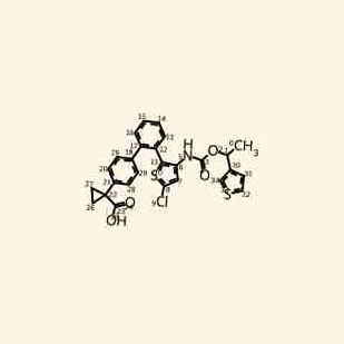 CC(OC(=O)Nc1cc(Cl)sc1-c1ccccc1-c1ccc(C2(C(=O)O)CC2)cc1)c1ccsc1